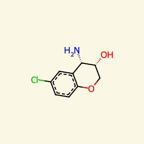 N[C@H]1c2cc(Cl)ccc2OC[C@H]1O